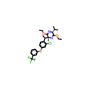 CCOC1=N[C@](C)(C(C)c2ccc(Sc3cccc(C(F)(F)F)c3)cc2Cl)C(OCC)=N[C@H]1C(C)C